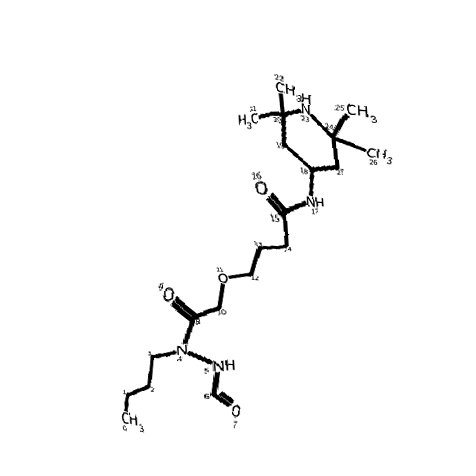 CCCCN(NC=O)C(=O)COCCCC(=O)NC1CC(C)(C)NC(C)(C)C1